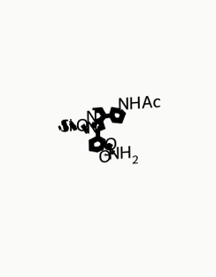 CC(=O)Nc1cccc(-c2ccnc3c2cc(-c2cccc(S(N)(=O)=O)c2)n3COCC[Si](C)(C)C)c1